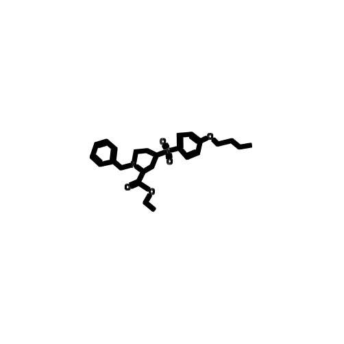 CCCCOc1ccc(S(=O)(=O)C2CCN(Cc3ccccc3)C(C(=O)OCC)C2)cc1